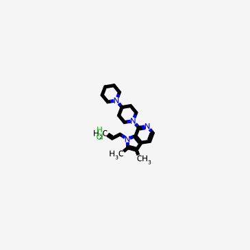 C=CCn1c(C)c(C)c2ccnc(N3CCC(N4CCCCC4)CC3)c21.Cl